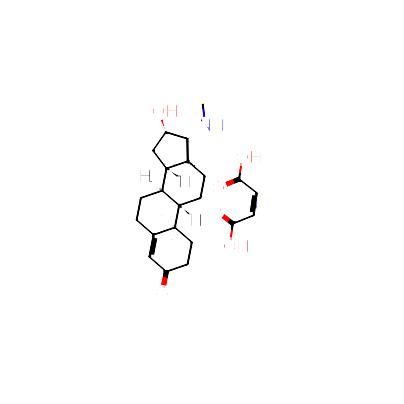 CN[C@H]1[C@H](O)C[C@H]2[C@@H]3CCC4=CC(=O)CC[C@]4(C)[C@H]3CC[C@@]21C.O=C(O)/C=C\C(=O)O